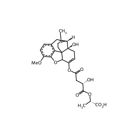 COc1ccc2c3c1OC1C(OC(=O)C[C@H](O)C(=O)O[C@@H](C)C(=O)O)=CC[C@@]4(O)[C@@H](C2)N(C)CCC314